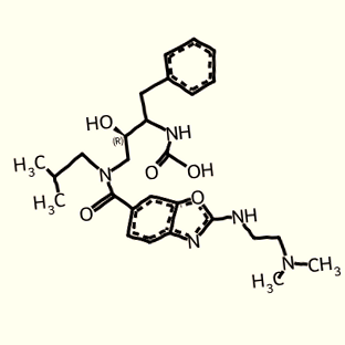 CC(C)CN(C[C@@H](O)C(Cc1ccccc1)NC(=O)O)C(=O)c1ccc2nc(NCCN(C)C)oc2c1